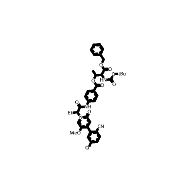 CCC(C(=O)Nc1ccc(C(=O)OC(C)C(NC(=O)OC(C)(C)C)C(=O)OCc2ccccc2)cc1)n1cc(OC)c(-c2cc(Cl)ccc2C#N)cc1=O